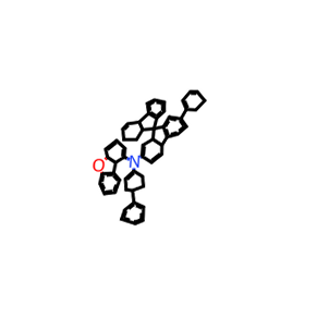 C1=CCCC(c2ccc3c(c2)C2(c4ccccc4C4C=CCCC42)C2C=C(N(C4=CCC(c5ccccc5)CC4)C4=CC=CC5Oc6ccccc6C45)C=CC32)=C1